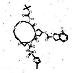 Cc1ccc(S(=O)(=O)NC(=O)[C@@]23C[C@H]2/C=C\CCCCC[C@H](NC(=O)OC(C)(C)C)C(=O)N2C[C@H](OC(=O)N4Cc5cccc(F)c5C4)C[C@H]2C(=O)N3)o1